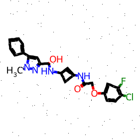 Cn1nc(C(O)NC23CC(NC(=O)COc4ccc(Cl)c(F)c4)(C2)C3)cc1-c1ccccc1